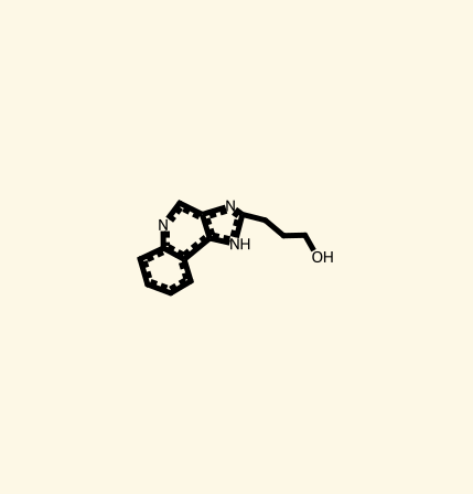 OCCCc1nc2cnc3ccccc3c2[nH]1